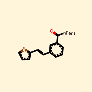 CCCCCC(=O)c1cccc(/C=C/c2cccs2)c1